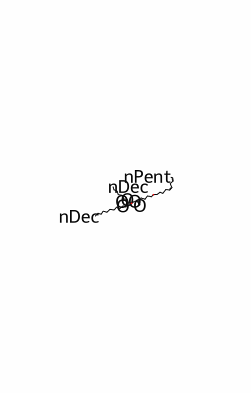 CCCCC/C=C\C/C=C\CCCCCCCCCC(=O)OC[C@@H](COCCCCCCCCCCCCCCCCCC)OC(=O)CCCCCCCCCCCCCC